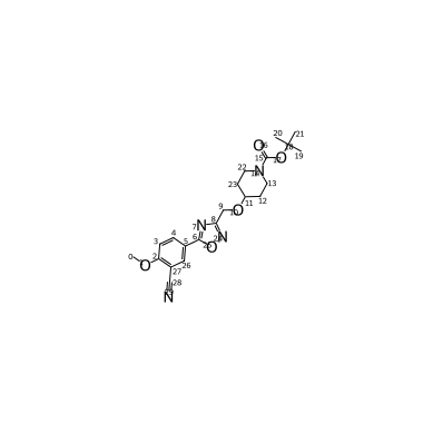 COc1ccc(-c2nc(COC3CCN(C(=O)OC(C)(C)C)CC3)no2)cc1C#N